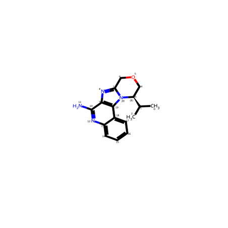 CC(C)[C@@H]1COCc2nc3c(N)nc4ccccc4c3n21